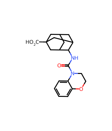 O=C(NC1C2CC3CC1CC(C(=O)O)(C3)C2)N1CCOc2ccccc21